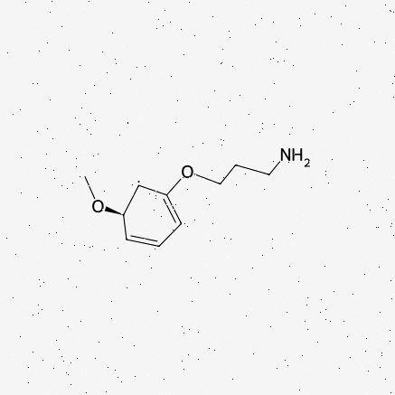 CO[C@H]1[CH]C(OCCCN)=CC=C1